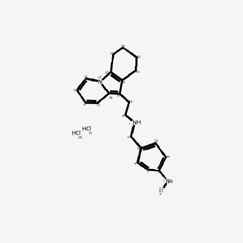 CCNc1ccc(CNCCc2c3c(n4ccccc24)CCCC3)cc1.Cl.Cl